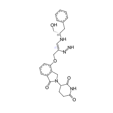 N=N/C(=C\N[C@H](CO)Cc1ccccc1)COc1cccc2c1CN(C1CCC(=O)NC1=O)C2=O